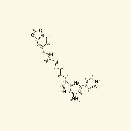 Nc1nc(-c2ccncc2)nc2c1ncn2CCCCOC(=O)NCc1ccc2c(c1)OCO2